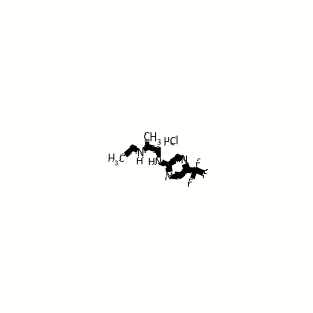 CCNC(C)CNc1cnc(C(F)(F)F)cn1.Cl